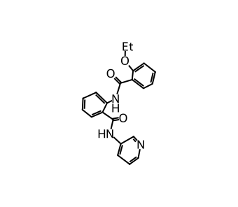 CCOc1ccccc1C(=O)Nc1ccccc1C(=O)Nc1cccnc1